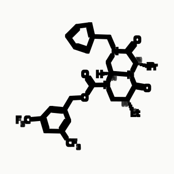 CC[C@@H]1CN(C(=O)OCc2cc(C(F)(F)F)cc(C(F)(F)F)c2)[C@H]2CN(Cc3ccccc3)C(=O)[C@H](C(C)C)N2C1=O